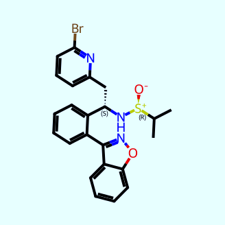 CC(C)[S@+]([O-])N[C@@H](Cc1cccc(Br)n1)c1ccccc1-c1noc2ccccc12